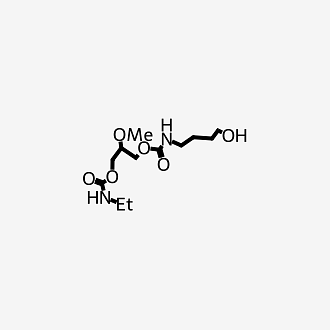 CCNC(=O)OCC(COC(=O)NCCCCO)OC